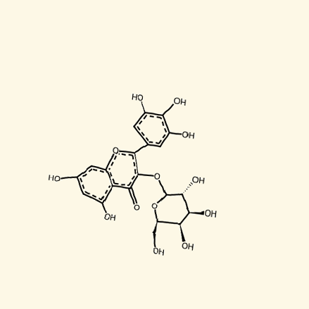 O=c1c(OC2O[C@H](CO)[C@H](O)[C@H](O)[C@H]2O)c(-c2cc(O)c(O)c(O)c2)oc2cc(O)cc(O)c12